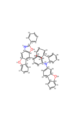 c1ccc(-c2nc3cc4oc5ccccc5c4c(-c4ccc(N(c5ccc6c(c5)oc5ccccc56)c5ccccc5-c5ccccc5)cc4)c3o2)cc1